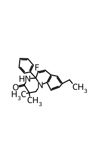 CCc1ccc2c(c1)C=C(F)C1(c3ccccc3)NC(=O)C(C)(C)CN21